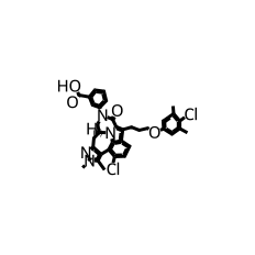 Cc1cc(OCCCc2c3n4c5c(c(Cl)ccc25)-c2c(nn(C)c2C)C[C@@H]4CN(c2cccc(C(=O)O)c2)C3=O)cc(C)c1Cl